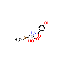 CCSCC[C@H](NC(=O)c1ccc(O)cc1)C(=O)O